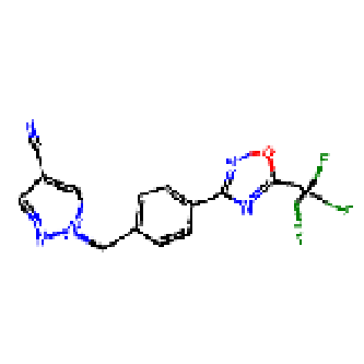 N#Cc1cnn(Cc2ccc(-c3noc(C(F)(F)F)n3)cc2)c1